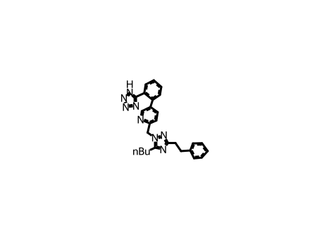 CCCCc1nc(CCc2ccccc2)nn1Cc1ccc(-c2ccccc2-c2nnn[nH]2)cn1